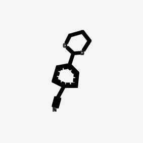 N#Cc1ccc(C2OC[CH]CO2)cc1